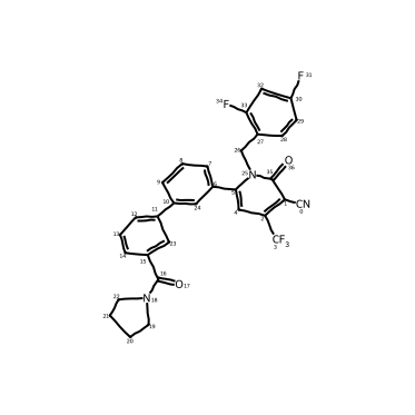 N#Cc1c(C(F)(F)F)cc(-c2cccc(-c3cccc(C(=O)N4CCCC4)c3)c2)n(Cc2ccc(F)cc2F)c1=O